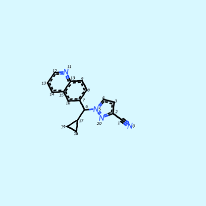 N#Cc1ccn(C(c2ccc3ncccc3c2)C2CC2)n1